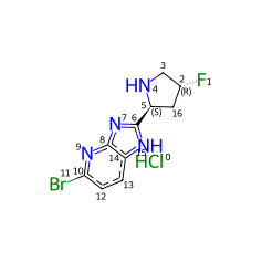 Cl.F[C@H]1CN[C@H](c2nc3nc(Br)ccc3[nH]2)C1